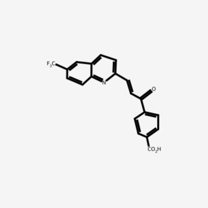 O=C(O)c1ccc(C(=O)C=Cc2ccc3cc(C(F)(F)F)ccc3n2)cc1